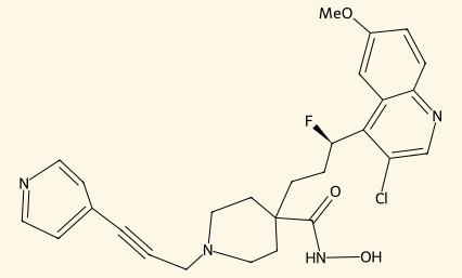 COc1ccc2ncc(Cl)c([C@H](F)CCC3(C(=O)NO)CCN(CC#Cc4ccncc4)CC3)c2c1